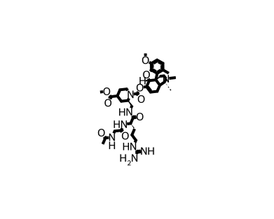 COC(=O)C1CCN(C(=O)OC2=CCC3[C@@H](C)N(C)CC[C@@]34c3c(C)ccc(OC)c3O[C@@H]24)[C@@H](CNC(=O)[C@H](CCCNC(=N)N)NC(=O)CNC(C)=O)C1